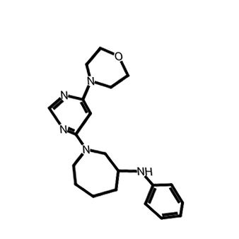 c1ccc(NC2CCCCN(c3cc(N4CCOCC4)ncn3)C2)cc1